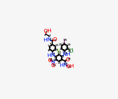 O=C(NCCO)c1ccc(Nc2c([N+](=O)[O-])cc(C(=O)NO)c(Nc3ccc(I)cc3Cl)c2F)cc1